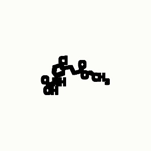 CCOC(=O)CCc1cc(NC(=O)O)ccc1Cl